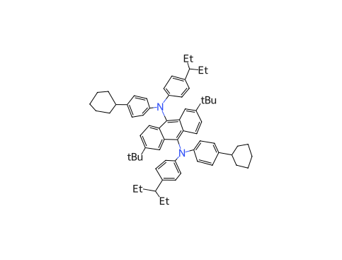 CCC(CC)c1ccc(N(c2ccc(C3CCCCC3)cc2)c2c3ccc(C(C)(C)C)cc3c(N(c3ccc(C(CC)CC)cc3)c3ccc(C4CCCCC4)cc3)c3ccc(C(C)(C)C)cc23)cc1